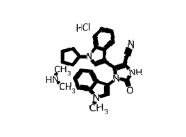 CNC.Cl.Cn1cc(-n2c(-c3cn(C4CCCC4)c4ccccc34)c(C#N)[nH]c2=O)c2ccccc21